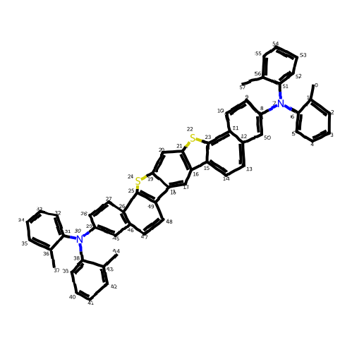 Cc1ccccc1N(c1ccc2c(ccc3c4cc5c(cc4sc23)sc2c3ccc(N(c4ccccc4C)c4ccccc4C)cc3ccc52)c1)c1ccccc1C